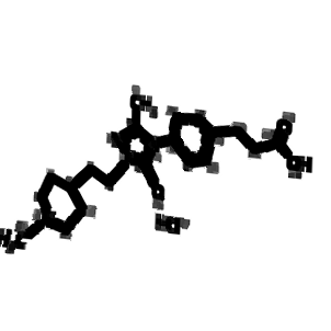 Cc1nn(CCC2CCN(C)CC2)c(=O)n1-c1ccc(CCC(=O)O)cc1.Cl